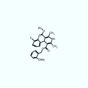 COc1ccccc1COC(=O)C1=C(C)NC(C)=C(C(=O)OC(C)C)C1c1cccc(F)c1F